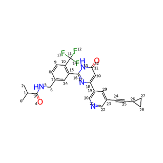 CC(C)C(=O)NCc1ccc(C(F)(F)F)c(-c2nc(-c3cncc(C#CC4CC4)c3)cc(=O)[nH]2)c1